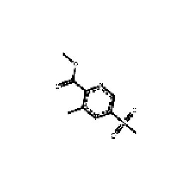 COC(=O)c1ncc(S(C)(=O)=O)cc1C